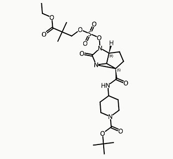 CCOC(=O)C(C)(C)COS(=O)(=O)ON1C(=O)N2C3[C@H]1CC[C@@]32C(=O)NC1CCN(C(=O)OC(C)(C)C)CC1